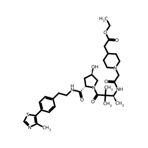 CCOC(=O)CC1CCN(CC(=O)N[C@@H](C)C(C)(C)C(=O)N2C[C@H](O)C[C@H]2C(=O)NCCc2ccc(-c3scnc3C)cc2)CC1